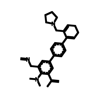 C=NCc1cc(-c2ccc(C3=CCCC=C3CN3CCCC3)cc2)cc(C(=C)C)c1N(C)C